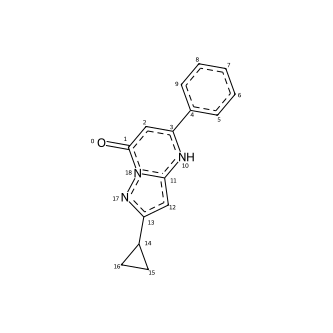 O=c1cc(-c2ccccc2)[nH]c2cc(C3CC3)nn12